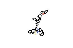 c1ccc2cc3c(ccc4c3nc3c5sc6cc7ccccc7cc6c5cc(-c5ccc(-c6ccc(-c7ccc(-c8cccc9c8oc8ccccc89)cc7)c7ccccc67)cc5)n43)cc2c1